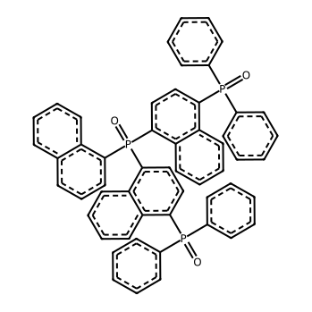 O=P(c1ccccc1)(c1ccccc1)c1ccc(P(=O)(c2cccc3ccccc23)c2ccc(P(=O)(c3ccccc3)c3ccccc3)c3ccccc23)c2ccccc12